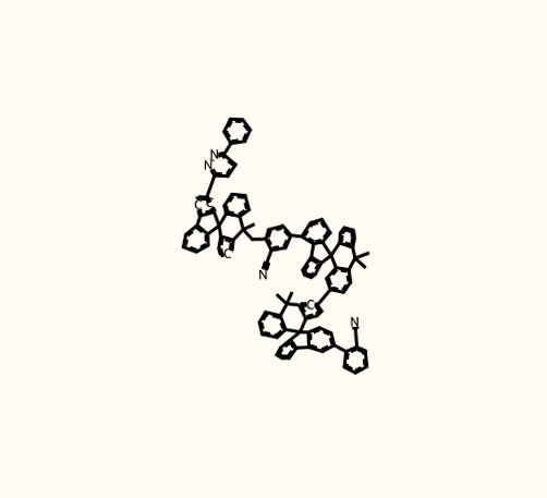 CC1(C)c2ccccc2C2(c3ccccc3-c3cc(-c4ccccc4C#N)ccc32)c2ccc(-c3ccc4c(c3)C3(c5ccccc5-c5c(-c6ccc(CC7(C)c8ccccc8C8(c9ccccc9-c9ccc(-c%10ccc(-c%11ccccc%11)nn%10)cc98)c8ccccc87)c(C#N)c6)cccc53)c3ccccc3C4(C)C)cc21